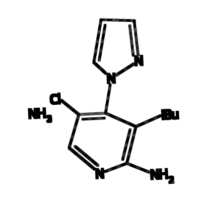 CCC(C)c1c(N)ncc(Cl)c1-n1cccn1.N